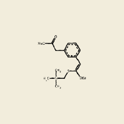 COC(=O)Cc1cccc(C=C(SC)SC[Si](C)(C)C)c1